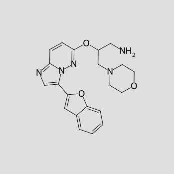 NCC(CN1CCOCC1)Oc1ccc2ncc(-c3cc4ccccc4o3)n2n1